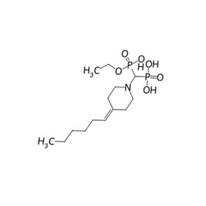 CCCCCC=C1CCN(C(P(=O)(O)O)P(=O)(O)OCC)CC1